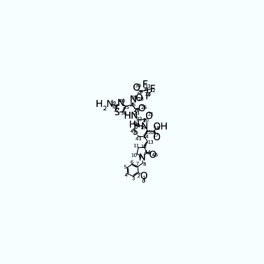 COc1ccccc1CN1CC/C(=C\C2=C(C(=O)O)N3C(=O)[C@@H](NC(=O)/C(=N\OC(=O)C(F)(F)F)c4csc(N)n4)[C@H]3SC2)C1=O